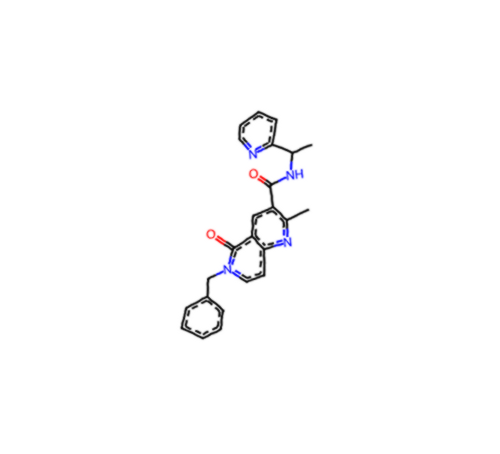 Cc1nc2ccn(Cc3ccccc3)c(=O)c2cc1C(=O)NC(C)c1ccccn1